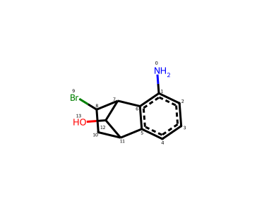 Nc1cccc2c1C1C(Br)CC2C1O